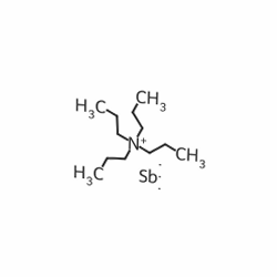 CCC[N+](CCC)(CCC)CCC.[Sb]